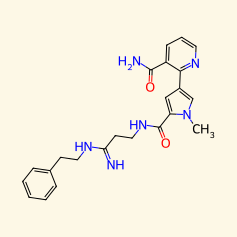 Cn1cc(-c2ncccc2C(N)=O)cc1C(=O)NCCC(=N)NCCc1ccccc1